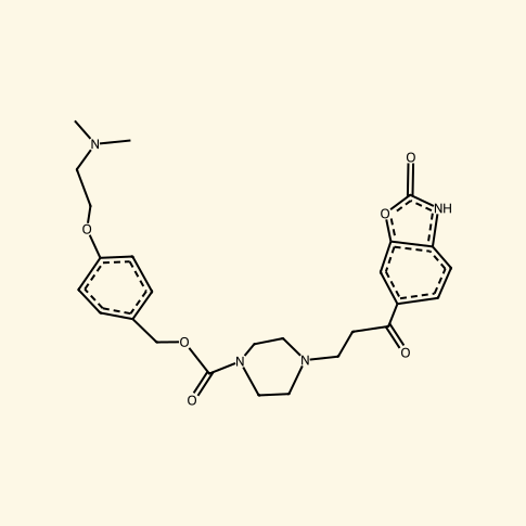 CN(C)CCOc1ccc(COC(=O)N2CCN(CCC(=O)c3ccc4[nH]c(=O)oc4c3)CC2)cc1